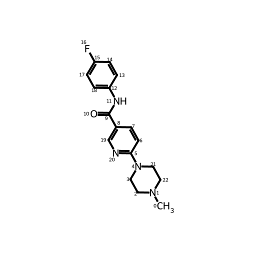 CN1CCN(c2ccc(C(=O)Nc3ccc(F)cc3)cn2)CC1